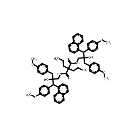 CCCC(CCC)(C(=O)NCC(O)(Cc1ccc(OC)cc1)C(c1ccc(OC)cc1)c1cccc2ccccc12)C(=O)NCC(O)(Cc1ccc(OC)cc1)C(c1ccc(OC)cc1)c1cccc2ccccc12